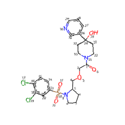 O=C(COCC1CCCN1S(=O)(=O)c1ccc(Cl)c(Cl)c1)N1CCC(O)(c2cccnc2)CC1